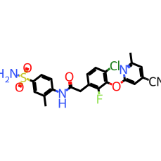 Cc1cc(C#N)cc(Oc2c(Cl)ccc(CC(=O)Nc3ccc(S(N)(=O)=O)cc3C)c2F)n1